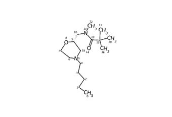 CCCCCN1CCO[C@H](CN(C)C(=O)C(C)(C)C)C1